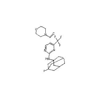 O=C(c1cnc(NC23CC4CC(CC(F)(C4)C2)C3)nc1C(F)(F)F)N1CCOCC1